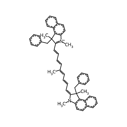 CC(/C=C/C=C/C1=[N+](C)c2ccc3ccccc3c2C1(C)Cc1ccccc1)=C\C=C\C=C1\N(C)c2ccc3ccccc3c2C1(C)Cc1ccccc1